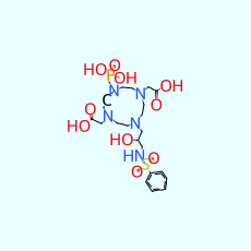 O=C(O)CN1CCN(CC(O)CNS(=O)(=O)c2ccccc2)CCN(CC(=O)O)CCN(CP(=O)(O)O)CC1